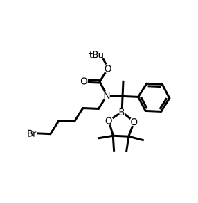 CC(C)(C)OC(=O)N(CCCCCBr)C(C)(B1OC(C)(C)C(C)(C)O1)c1ccccc1